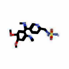 C=Nc1cc(OC)c(OC)cc1/C(=N\C)c1ccc(CNS(N)(=O)=O)nc1